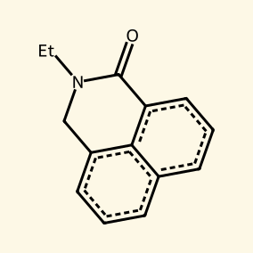 CCN1Cc2cccc3cccc(c23)C1=O